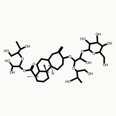 C=C1CC2CCC3[C@](C)(C(=O)OC(OC(CO)C(C)O)C(O)O)CCC[C@@]3(C)[C@@H]2CCC1OC(OC(CO)C(C)O)C(O)OC1OC(CO)C(O)C(O)C1O